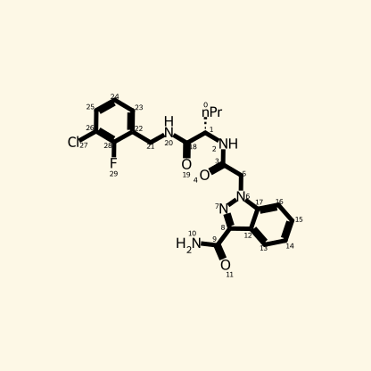 CCC[C@H](NC(=O)Cn1nc(C(N)=O)c2ccccc21)C(=O)NCc1cccc(Cl)c1F